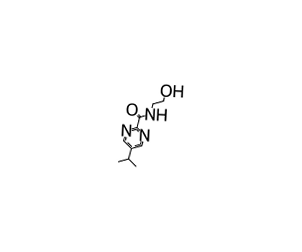 CC(C)c1cnc(C(=O)NCCO)nc1